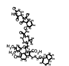 Cc1nn(C)c(C)c1-c1c(Cl)ccc2c(CCCOc3cccc4ccccc34)c(C(=O)O)n(CCN3CCN(C(=O)COC4=C=C=CC5=C4C(=O)N(C4CCC(=O)NC4=O)C5=O)CC34CC4)c12